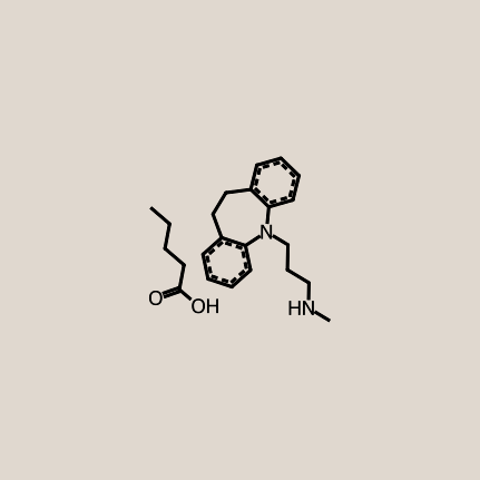 CCCCC(=O)O.CNCCCN1c2ccccc2CCc2ccccc21